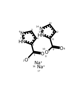 O=C([O-])c1ccn[nH]1.O=C([O-])c1ccn[nH]1.[Na+].[Na+]